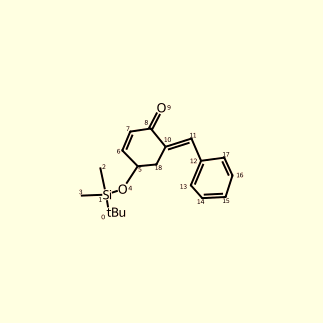 CC(C)(C)[Si](C)(C)OC1C=CC(=O)/C(=C/c2ccccc2)C1